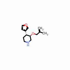 C=C(C)CO[C@H]1CNCC[C@@H]1c1ccoc1